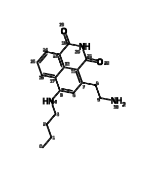 CCCCNc1cc(CCN)c2c3c(cccc13)C(=O)NC2=O